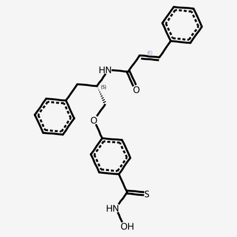 O=C(/C=C/c1ccccc1)N[C@H](COc1ccc(C(=S)NO)cc1)Cc1ccccc1